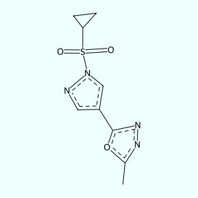 Cc1nnc(-c2cnn(S(=O)(=O)C3CC3)c2)o1